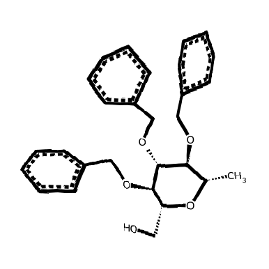 C[C@@H]1O[C@H](CO)[C@@H](OCc2ccccc2)[C@H](OCc2ccccc2)[C@H]1OCc1ccccc1